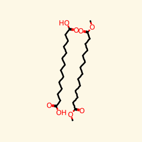 COC(=O)CCCCCCCCCCCCC(=O)OC.O=C(O)CCCCCCCCCCCCC(=O)O